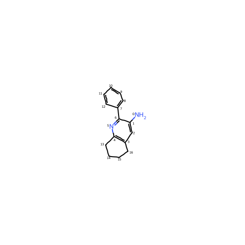 Nc1cc2c(nc1-c1ccccc1)CCCC2